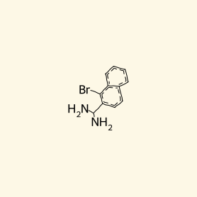 NC(N)c1ccc2ccccc2c1Br